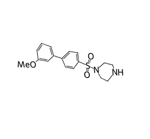 COc1cccc(-c2ccc(S(=O)(=O)N3CCNCC3)cc2)c1